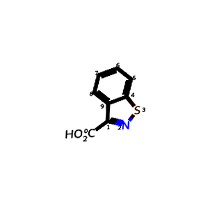 O=C(O)c1nsc2ccccc12